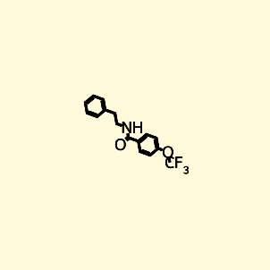 O=C(NCCc1ccccc1)c1ccc(OC(F)(F)F)cc1